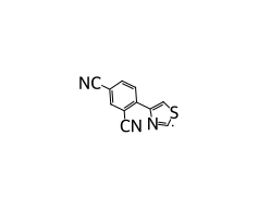 N#Cc1ccc(-c2cs[c]n2)c(C#N)c1